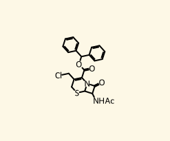 CC(=O)NC1C(=O)N2C(C(=O)OC(c3ccccc3)c3ccccc3)=C(CCl)CSC12